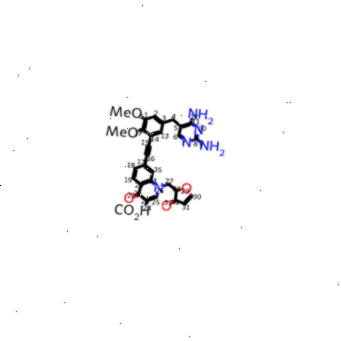 COc1cc(Cc2cnc(N)nc2N)cc(C#Cc2ccc3c(=O)c(C(=O)O)cn(CC4OC=CC4=O)c3c2)c1OC